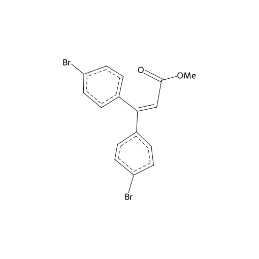 COC(=O)C=C(c1ccc(Br)cc1)c1ccc(Br)cc1